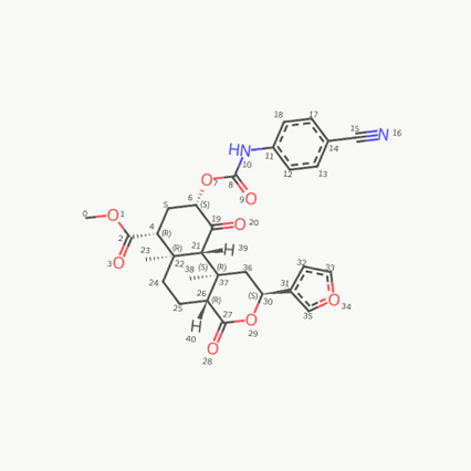 COC(=O)[C@@H]1C[C@H](OC(=O)Nc2ccc(C#N)cc2)C(=O)[C@H]2[C@@]1(C)CC[C@H]1C(=O)O[C@H](c3ccoc3)C[C@]21C